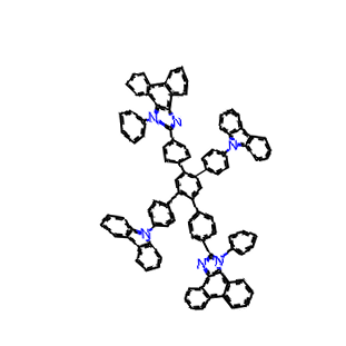 c1ccc(-n2c(-c3ccc(-c4cc(-c5ccc(-n6c7ccccc7c7ccccc76)cc5)c(-c5ccc(-c6nc7c8ccccc8c8ccccc8c7n6-c6ccccc6)cc5)cc4-c4ccc(-n5c6ccccc6c6ccccc65)cc4)cc3)nc3c4ccccc4c4ccccc4c32)cc1